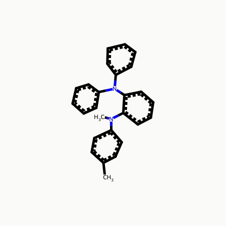 Cc1ccc(N(C)c2ccccc2N(c2ccccc2)c2ccccc2)cc1